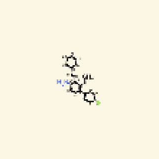 C=Cc1c(-c2ccc(F)cc2)ccc(N)c1C=Cc1ccccc1